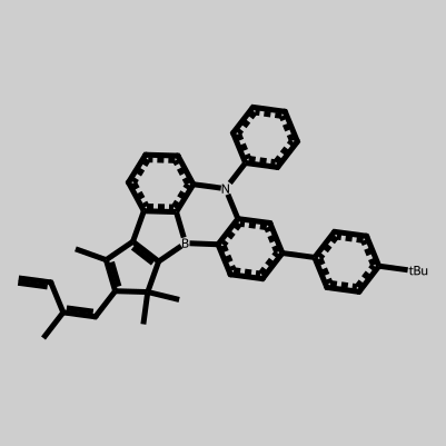 C=C/C(C)=C\C1=C(C)C2=C(B3c4ccc(-c5ccc(C(C)(C)C)cc5)cc4N(c4ccccc4)c4cccc2c43)C1(C)C